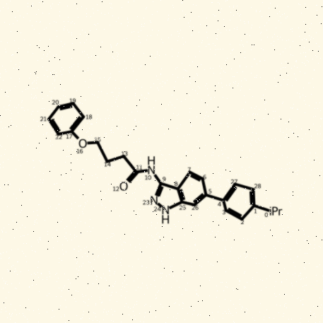 CC(C)c1ccc(-c2ccc3c(NC(=O)CCCOc4ccccc4)n[nH]c3c2)cc1